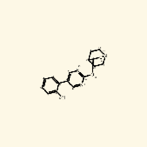 Clc1ccccc1-c1cnc(OC2CN3CCC2CC3)nc1